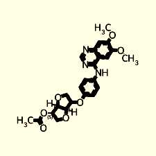 COc1cc2ncnc(Nc3ccc(OC4CO[C@@H]5[C@@H](OC(C)=O)CO[C@H]45)cc3)c2cc1OC